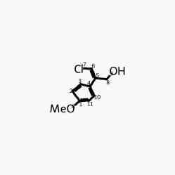 COc1ccc(/C(=C\Cl)CO)cc1